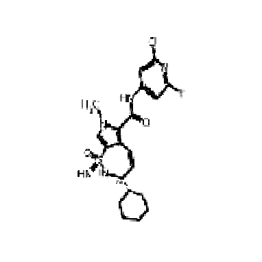 Cn1cc2c(c1C(=O)Nc1cc(F)nc(Cl)c1)C=C[C@H](C1CCCCC1)NS2(=N)=O